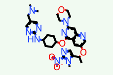 CC(Oc1cnc2cc(N3CCOCC3)nc(OC3CCC(Nc4ncc(CN(C)C)cn4)CC3)c2c1)c1cnc([N+](=O)[O-])n1C